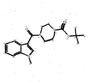 Cn1cc(C(=O)N2CCN(C(=O)OC(C)(C)C)CC2)c2ccccc21